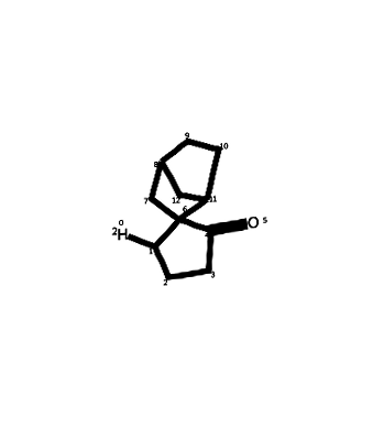 [2H]C1CCC(=O)C12CC1CCC2C1